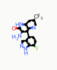 Nc1c(-c2ccc(F)c3[nH]ncc23)c2ncc(C(F)(F)F)cc2[nH]c1=O